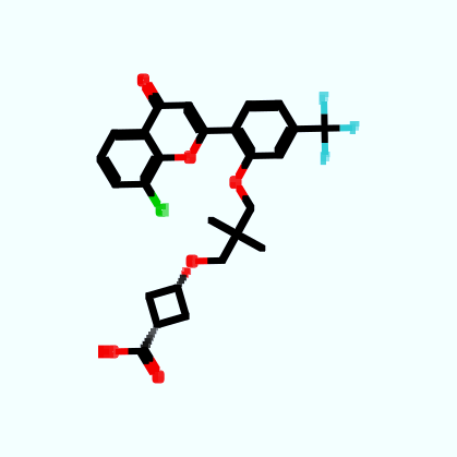 CC(C)(COc1cc(C(F)(F)F)ccc1-c1cc(=O)c2cccc(Cl)c2o1)CO[C@H]1C[C@@H](C(=O)O)C1